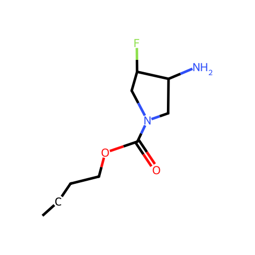 CCCCOC(=O)N1CC(N)C(F)C1